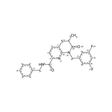 CC1Sc2ccc(C(=O)NCc3ccccc3)nc2N(Cc2cc(F)cc(F)c2)C1=O